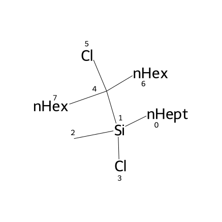 CCCCCCC[Si](C)(Cl)C(Cl)(CCCCCC)CCCCCC